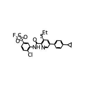 CCSc1cc(-c2ccc(C3CC3)cc2)cnc1C(=O)Nc1cc(S(=O)(=O)C(F)(F)F)ccc1Cl